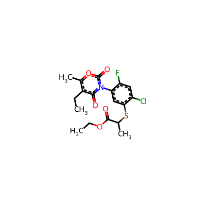 CCOC(=O)C(C)Sc1cc(-n2c(=O)oc(C)c(CC)c2=O)c(F)cc1Cl